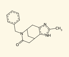 Cc1nc2c([nH]1)C1CC(=O)N(Cc3ccccc3)C(C2)C1